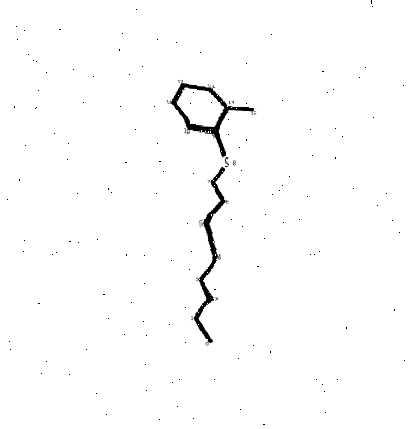 CCCCCCCCSC1CCCCC1C